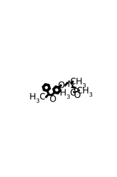 CCC(C(=O)c1ccc(OCCN(C)CCP(C)(C)=O)cc1)c1ccccc1